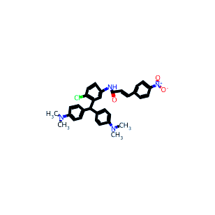 CN(C)c1ccc(C(c2ccc(N(C)C)cc2)c2cc(NC(=O)C=Cc3ccc([N+](=O)[O-])cc3)ccc2Cl)cc1